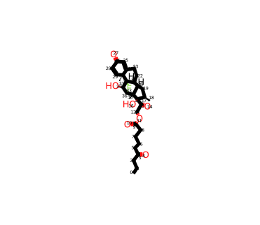 CCCC(=O)CCCCC(=O)OCC(=O)[C@@]1(O)[C@H](C)C[C@H]2[C@@H]3CCC4=CC(=O)C=C[C@]4(C)[C@@]3(F)[C@@H](O)C[C@@]21C